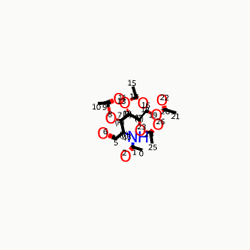 CC(=O)N[C@@H](C=O)[C@@H](OC(C)=O)[C@@H](OC(C)=O)[C@@H](COC(C)=O)OC(C)=O